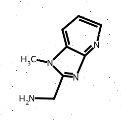 Cn1c(CN)nc2ncccc21